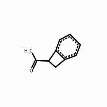 CC(=O)C1Cc2ccccc21